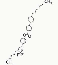 CCCCCCCCC1CCC(c2ccc(C(=O)Oc3ccc(CCC(CCCCCC)C(F)(F)F)cc3)cc2)CC1